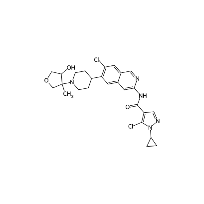 CC1(N2CCC(c3cc4cc(NC(=O)c5cnn(C6CC6)c5Cl)ncc4cc3Cl)CC2)COCC1O